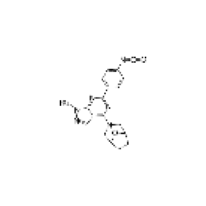 CC(C)(C)n1ncc2c(N3CC4CCC(C3)O4)nc(-c3ccc(N=C=O)cc3)nc21